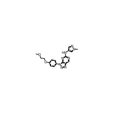 COCCOc1ccc(-n2nnc3cnc(Nc4cnn(C)c4)nc32)cc1